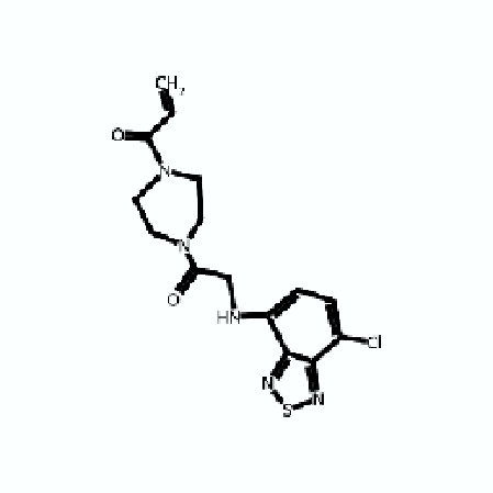 C=CC(=O)N1CCN(C(=O)CNc2ccc(Cl)c3nsnc23)CC1